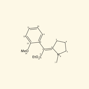 CCOC(=O)C(=C1CCCN1C)c1ccccc1OC